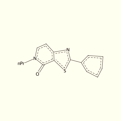 CCCn1ccc2nc(-c3ccccc3)sc2c1=O